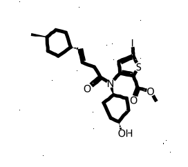 COC(=O)c1sc(I)cc1N(C(=O)CC=C[C@H]1CC[C@H](C)CC1)[C@H]1CC[C@H](O)CC1